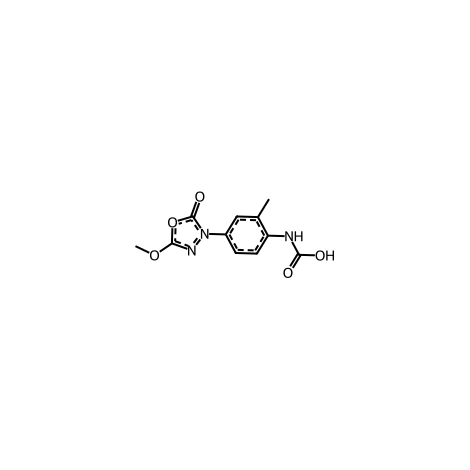 COc1nn(-c2ccc(NC(=O)O)c(C)c2)c(=O)o1